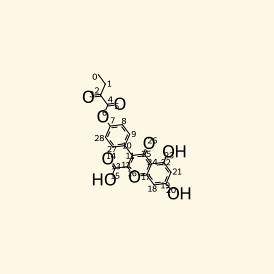 CCC(=O)C(=O)Oc1ccc(-c2c(C(=O)O)oc3cc(O)cc(O)c3c2=O)cc1